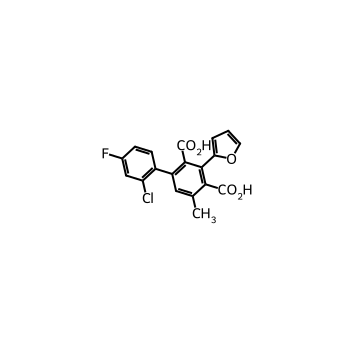 Cc1cc(-c2ccc(F)cc2Cl)c(C(=O)O)c(-c2ccco2)c1C(=O)O